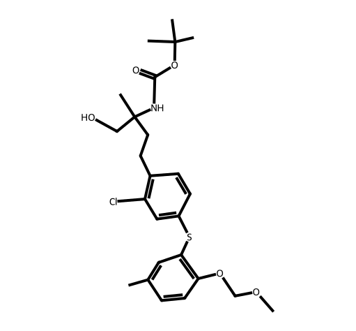 COCOc1ccc(C)cc1Sc1ccc(CCC(C)(CO)NC(=O)OC(C)(C)C)c(Cl)c1